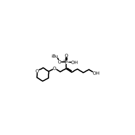 CCC(C)O[P@@](=O)(O)C(=CCCCO)COC1CCCOC1